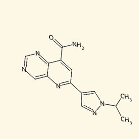 CC(C)n1cc(-c2cc(C(N)=O)c3ncncc3n2)cn1